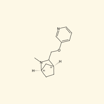 CN1C(COc2cccnc2)[C@H]2CC[C@@H]1C2